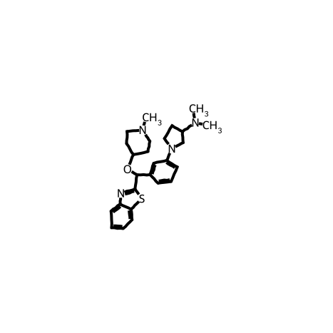 CN1CCC(OC(c2cccc(N3CCC(N(C)C)C3)c2)c2nc3ccccc3s2)CC1